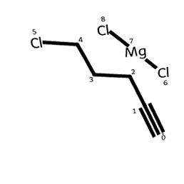 [C]#CCCCCl.[Cl][Mg][Cl]